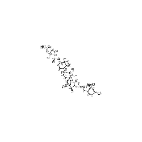 COc1cc(Cl)ccc1CNCC[C@@]12CC[C@]3(C)[C@H](CC[C@@H]4[C@@]5(C)CC[C@H](OC(=O)[C@H]6C[C@@H](C(=O)O)C6(C)C)C(C)(C)[C@@H]5CC[C@]43C)C1=C(C(C)C)C(=O)C2